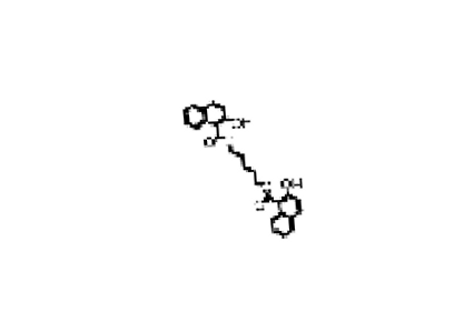 O=C(OCCCCCOC(=O)c1c(O)ccc2ccccc12)c1c(O)ccc2ccccc12